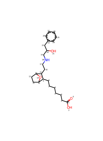 O=C(O)CCCCCCC1C2CCC(O2)C1CCNCC(O)Cc1ccccc1